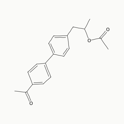 CC(=O)OC(C)Cc1ccc(-c2ccc(C(C)=O)cc2)cc1